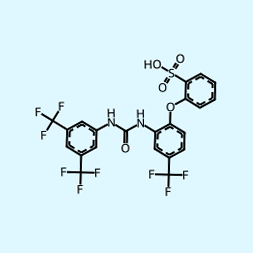 O=C(Nc1cc(C(F)(F)F)cc(C(F)(F)F)c1)Nc1cc(C(F)(F)F)ccc1Oc1ccccc1S(=O)(=O)O